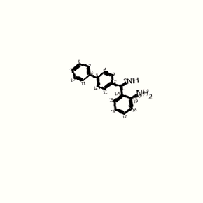 N=C(c1ccc(-c2ccccc2)cc1)c1ccccc1N